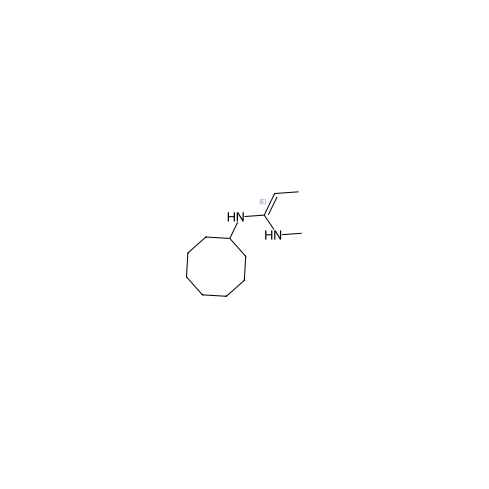 C/C=C(\NC)NC1CCCCCCC1